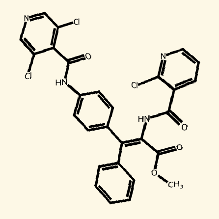 COC(=O)C(NC(=O)c1cccnc1Cl)=C(c1ccccc1)c1ccc(NC(=O)c2c(Cl)cncc2Cl)cc1